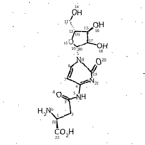 N[C@@H](CC(=O)Nc1ccn([C@@H]2O[C@H](CO)C(O)C2O)c(=O)n1)C(=O)O